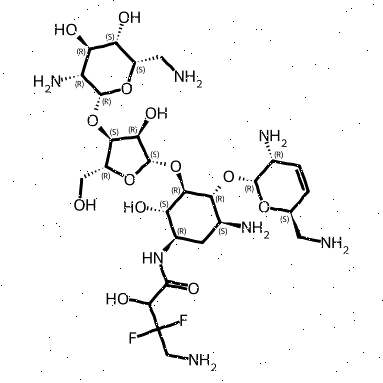 NC[C@@H]1O[C@H](O[C@H]2[C@@H](O)[C@H](O[C@@H]3[C@@H](O)[C@H](NC(=O)C(O)C(F)(F)CN)C[C@H](N)[C@H]3O[C@H]3O[C@H](CN)C=C[C@H]3N)O[C@@H]2CO)[C@H](N)[C@@H](O)[C@@H]1O